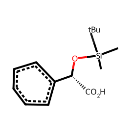 CC(C)(C)[Si](C)(C)O[C@H](C(=O)O)c1ccccc1